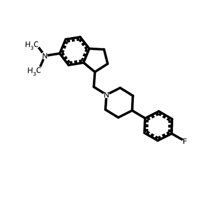 CN(C)c1ccc2c(c1)C(CN1CCC(c3ccc(F)cc3)CC1)CC2